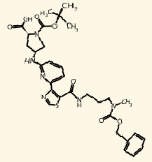 CN(CCCNC(=O)c1scnc1-c1cccc(N[C@H]2C[C@@H](C(=O)O)N(C(=O)OC(C)(C)C)C2)n1)C(=O)OCc1ccccc1